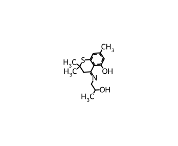 Cc1cc(O)c2c(c1)SC(C)(C)CC2=NCC(C)O